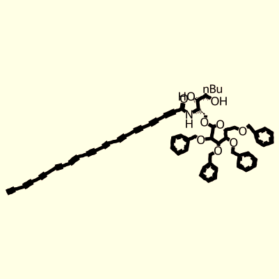 C#CC#CC#CC#CC#CC#CC#CC#CC#CC#CC#CC(=O)N[C@@H](COC1OC(COCc2ccccc2)C(OCc2ccccc2)C(OCc2ccccc2)C1OCc1ccccc1)[C@H](O)[C@H](O)CCCC